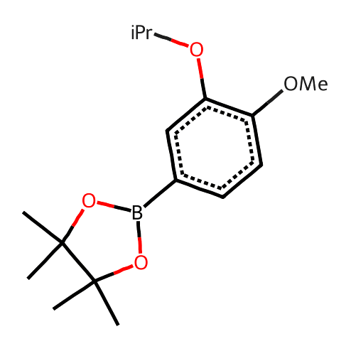 COc1ccc(B2OC(C)(C)C(C)(C)O2)cc1OC(C)C